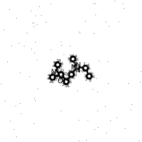 c1ccc(-c2cccc(-c3nc(-c4ccccc4)nc(-c4ccc(-c5cccc6oc7c(ccc8c(-c9ccccc9)nc9ccccc9c87)c56)cc4)n3)c2)cc1